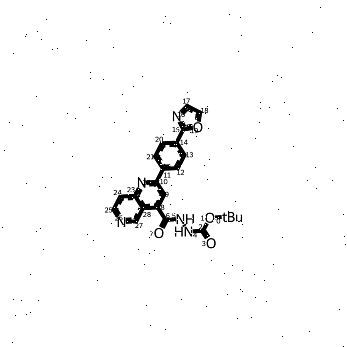 CC(C)(C)OC(=O)NNC(=O)c1cc(-c2ccc(-c3ncco3)cc2)nc2ccncc12